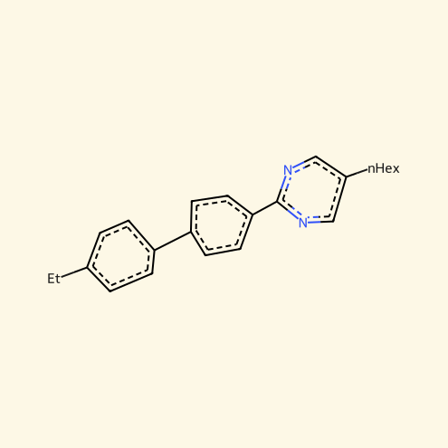 CCCCCCc1cnc(-c2ccc(-c3ccc(CC)cc3)cc2)nc1